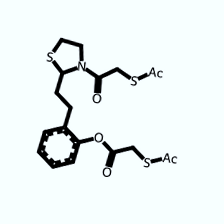 CC(=O)SCC(=O)Oc1ccccc1CCC1SCCN1C(=O)CSC(C)=O